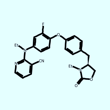 CCN(c1ccc(Oc2ccc(C[C@H]3COC(=O)N3CC)cc2)c(F)c1)c1ncccc1C#N